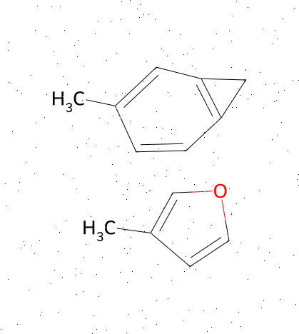 Cc1ccc2c(c1)C2.Cc1ccoc1